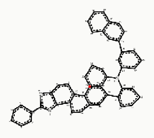 c1ccc(-c2nc3c(ccc4c5ccc(-c6ccccc6N(c6ccccc6)c6cccc(-c7ccc8ccccc8c7)c6)cc5ccc43)o2)cc1